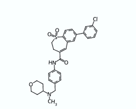 CN(Cc1ccc(NC(=O)C2=Cc3cc(-c4cccc(Cl)c4)ccc3S(=O)(=O)CC2)cc1)C1CCOCC1